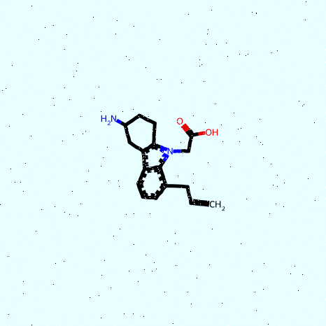 C=CCc1cccc2c3c(n(CC(=O)O)c12)CCC(N)C3